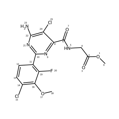 COC(=O)CNC(=O)c1nc(-c2ccc(Cl)c(OC)c2F)nc(N)c1Cl